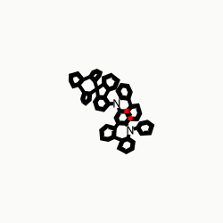 c1ccc(-c2ccccc2N(c2ccc3c(c2)-c2ccccc2-c2ccccc2N3c2ccccc2)c2cccc3c2-c2ccccc2C32c3ccccc3-c3ccccc3-c3ccccc32)cc1